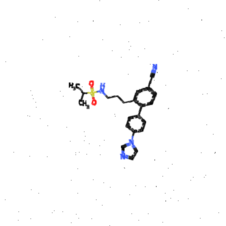 CC(C)S(=O)(=O)NCCCc1cc(C#N)ccc1-c1ccc(-n2ccnc2)cc1